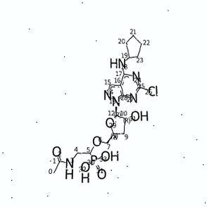 CC(=O)NCC(OC[C@@H]1C[C@@H](O)[C@H](n2ncc3c(NC4CCCC4)nc(Cl)nc32)O1)P(=O)(O)O